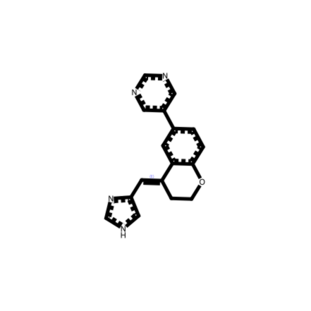 C(=C1/CCOc2ccc(-c3cncnc3)cc21)/c1c[nH]cn1